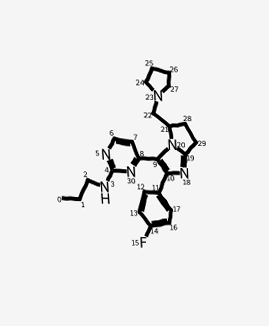 CCCNc1nccc(-c2c(-c3ccc(F)cc3)nc3n2C(CN2CCCC2)CC3)n1